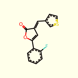 O=C1OC(c2ccccc2F)=CC1=Cc1ccsc1